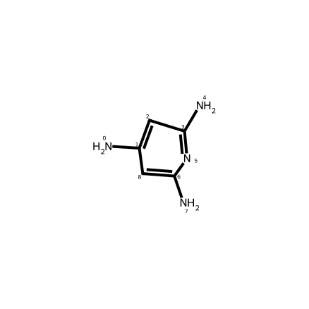 Nc1cc(N)nc(N)c1